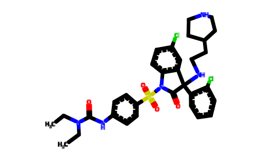 CCN(CC)C(=O)Nc1ccc(S(=O)(=O)N2C(=O)C(NCCC3CCNCC3)(c3ccccc3Cl)c3cc(Cl)ccc32)cc1